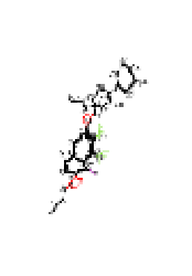 CCCCOc1ccc2cc(OC[C@]3(CCC)CC[C@@H](C4CCCCC4)CC3)c(F)c(F)c2c1I